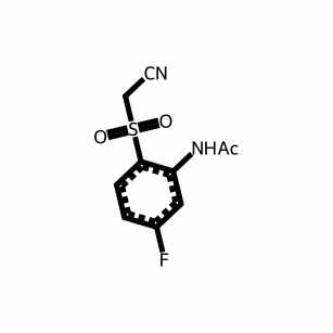 CC(=O)Nc1cc(F)ccc1S(=O)(=O)CC#N